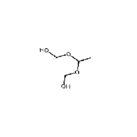 CC(OCO)OCO